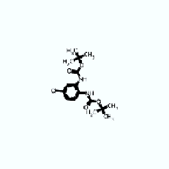 CC(C)(C)OC(=O)Nc1ccc(Cl)cc1NC(=O)OC(C)(C)C